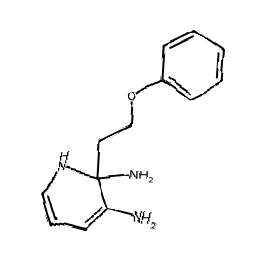 NC1=CC=CNC1(N)CCOc1ccccc1